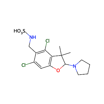 CC1(C)c2c(cc(Cl)c(CNS(=O)(=O)O)c2Cl)OC1N1CCCC1